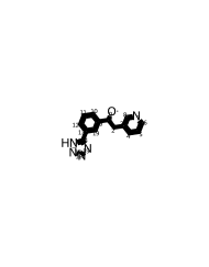 [O]C(Cc1cccnc1)c1cccc(-c2nnn[nH]2)c1